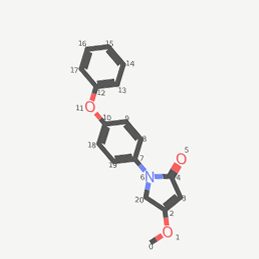 COC1=CC(=O)N(c2ccc(Oc3ccccc3)cc2)C1